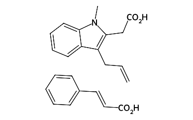 C=CCc1c(CC(=O)O)n(C)c2ccccc12.O=C(O)C=Cc1ccccc1